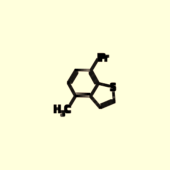 Cc1ccc(C(C)C)c2sccc12